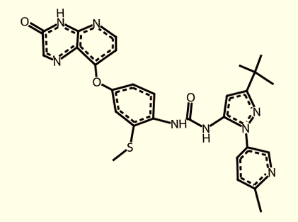 CSc1cc(Oc2ccnc3[nH]c(=O)cnc23)ccc1NC(=O)Nc1cc(C(C)(C)C)nn1-c1ccc(C)nc1